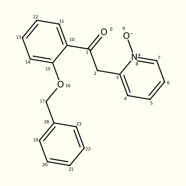 O=C(Cc1cccc[n+]1[O-])c1ccccc1OCc1ccccc1